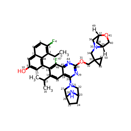 CCc1c(F)ccc2cc(O)cc(-c3c(C(C)C)cc4c(N5CC6CCC(C5)N6)nc(OCC5(CN6C[C@H]7C[C@@H]6CO7)CC5)nc4c3F)c12